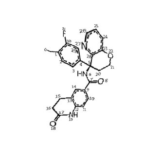 Cc1ccc([C@@]2(NC(=O)c3ccc4c(c3)CCC(=O)N4)CCOc3cccnc32)cc1F